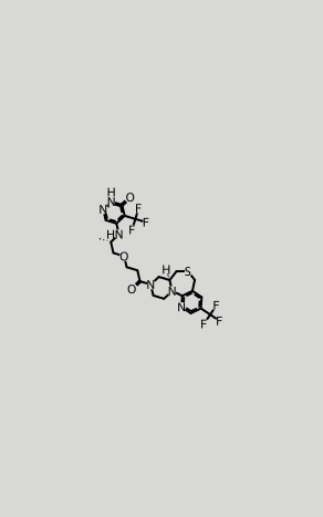 C[C@@H](COCCC(=O)N1CCN2c3ncc(C(F)(F)F)cc3CSC[C@@H]2C1)Nc1cn[nH]c(=O)c1C(F)(F)F